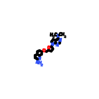 CN(C)c1ncnc2c1ccn2C1CCC(COc2ccc3ccc(N)nc3c2)O1